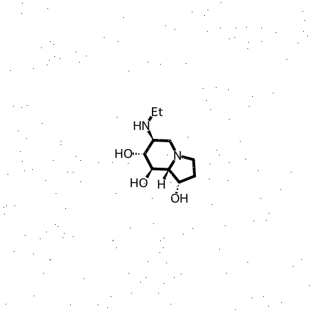 CCN[C@H]1CN2CC[C@H](O)[C@@H]2[C@@H](O)[C@@H]1O